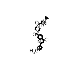 Cn1ccc(-c2cc(Cl)c3ccc(C(=O)N4CCN(C(=O)c5cn(C6CC6)nn5)CC4)cc3n2)c1